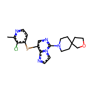 Cc1nccc(Sc2cnc(N3CCC4(CCOC4)CC3)n3ccnc23)c1Cl